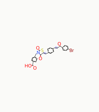 O=C(O)c1ccc(CN2C(=O)S/C(=C\c3ccc(/C=C/C(=O)c4ccc(Br)cc4)cc3)C2=O)cc1